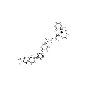 C/C(=C\NC(=O)/N=C1\SCCCN1c1c(C)cccc1C)c1ccc(-c2ncn(-c3ccc(OC(F)(F)F)cc3)n2)cc1